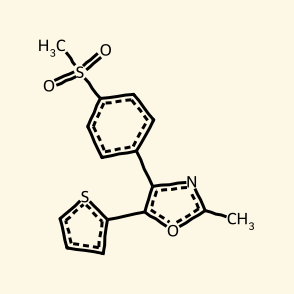 Cc1nc(-c2ccc(S(C)(=O)=O)cc2)c(-c2cccs2)o1